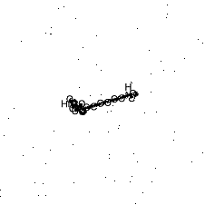 CC(C)(C)OC(=O)NCCOCCOCCOCCOCCOCCOc1cccc2c1C(=O)N(C1CCC(=O)NC1=O)C2=O